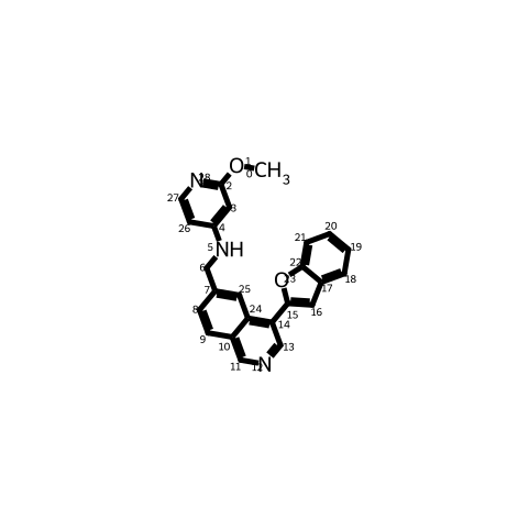 COc1cc(NCc2ccc3cncc(-c4cc5ccccc5o4)c3c2)ccn1